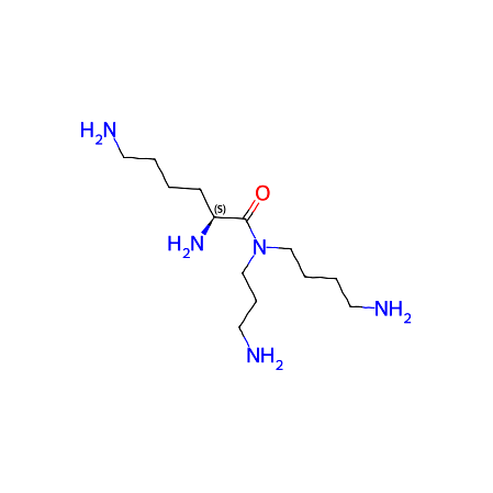 NCCCC[C@H](N)C(=O)N(CCCN)CCCCN